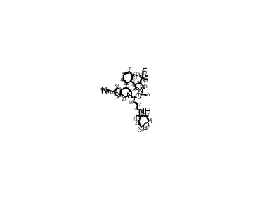 CCn1cc(-c2ccccc2[C@@H]2CN(C(=O)/C=C/CNC3(C)CCOCC3)Cc3sc(C#N)cc32)c(C(F)(F)F)n1